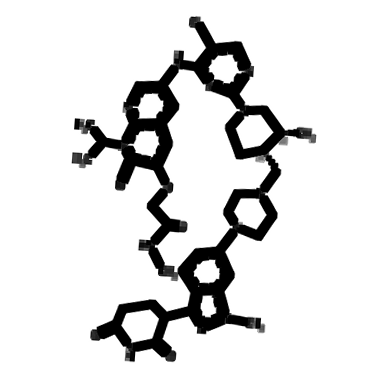 CNC(=O)COc1cc2cc(Nc3nc(N4CC[C@@H](CN5CCN(c6ccc7c(C8CCC(=O)NC8=O)nn(C)c7c6)CC5)[C@@H](C)C4)ncc3Cl)cnc2n(C(C)C)c1=O